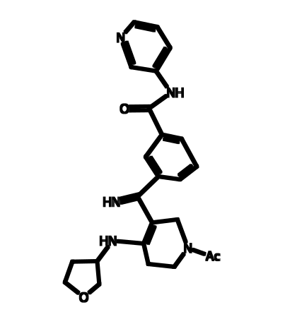 CC(=O)N1CCC(NC2CCOC2)=C(C(=N)c2cccc(C(=O)Nc3cccnc3)c2)C1